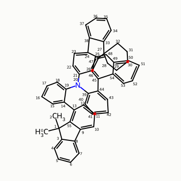 CC1(C)c2ccccc2-c2cccc(-c3ccccc3N(c3ccc4c(c3)C3(CCCCC3)c3ccccc3-4)c3ccccc3-c3cccc4ccccc34)c21